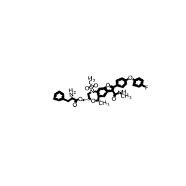 CNC(=O)c1c(-c2ccc(Oc3ccc(F)cc3)cc2)oc2cc3c(cc12)[C@H](C)O[C@H](COC(=O)[C@@H](N)Cc1ccccc1)CN3S(C)(=O)=O